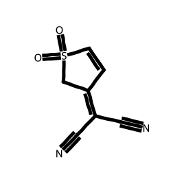 N#CC(C#N)=C1C=CS(=O)(=O)C1